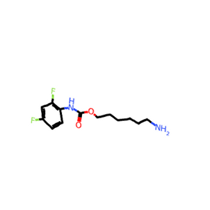 NCCCCCCOC(=O)Nc1ccc(F)cc1F